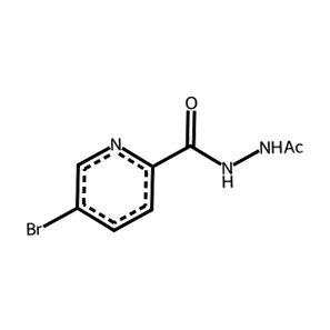 CC(=O)NNC(=O)c1ccc(Br)cn1